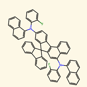 Fc1ccccc1N(c1ccc2c(c1)C1(c3ccccc3-c3ccccc31)c1cc(N(c3ccccc3F)c3cccc4ccccc34)c3ccccc3c1-2)c1cccc2ccccc12